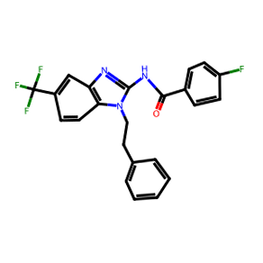 O=C(Nc1nc2cc(C(F)(F)F)ccc2n1CCc1ccccc1)c1ccc(F)cc1